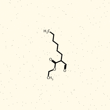 CCCCCCC(C=O)C(=O)OCC